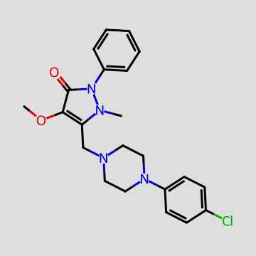 COc1c(CN2CCN(c3ccc(Cl)cc3)CC2)n(C)n(-c2ccccc2)c1=O